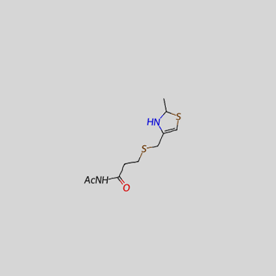 CC(=O)NC(=O)CCSCC1=CSC(C)N1